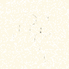 CCCCCCCCCCCCCCN(C(=O)CCCCCCCCCCC)[C@@H]1O[C@H](CO)[C@H](O)[C@H](O)[C@H]1NC(=O)[C@H](C)N